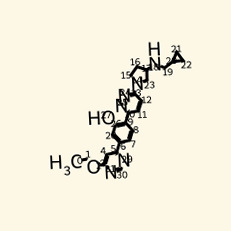 CCOc1cc(-c2ccc(-c3ccc(N4CCC(NCC5CC5)C4)nn3)c(O)c2)ncn1